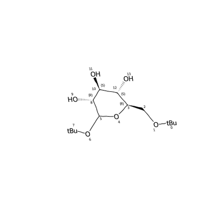 CC(C)(C)OC[C@H]1OC(OC(C)(C)C)[C@H](O)[C@@H](O)[C@@H]1O